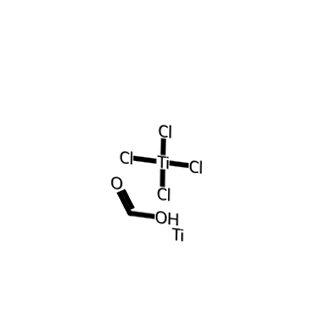 O=CO.[Cl][Ti]([Cl])([Cl])[Cl].[Ti]